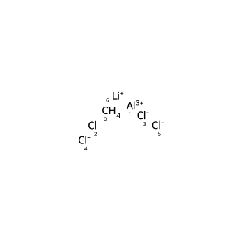 C.[Al+3].[Cl-].[Cl-].[Cl-].[Cl-].[Li+]